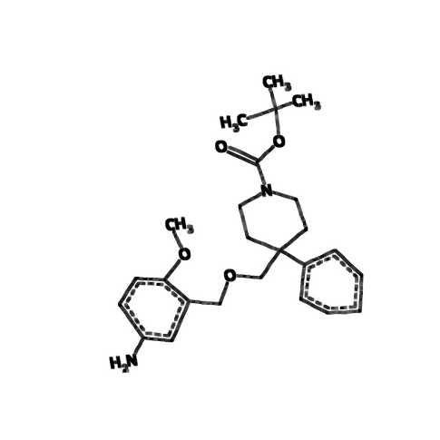 COc1ccc(N)cc1COCC1(c2ccccc2)CCN(C(=O)OC(C)(C)C)CC1